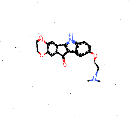 CN(C)CCOc1ccc2[nH]c3c(c2c1)C(=O)c1cc2c(cc1-3)OCCO2